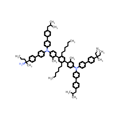 CCCCCCc1cc(-c2ccc(N(c3ccc(-c4ccc(CC(C)C)cc4)cc3)c3ccc(-c4ccc(C(C)(CC)CC)cc4)cc3)cc2C)c(CCCCCC)cc1-c1ccc(N(c2ccc(-c3ccc(CC(C)C)cc3)cc2)c2ccc(-c3ccc(C(C)(N)CCC)cc3)cc2)cc1C